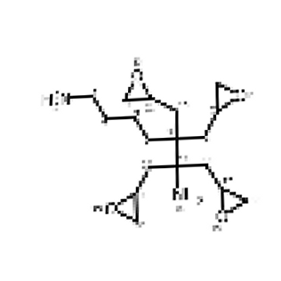 NCCCCC(CC1CO1)(CC1CO1)C(N)(CC1CO1)CC1CO1